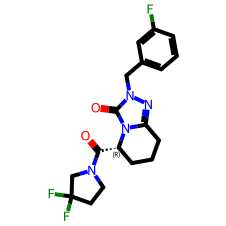 O=C([C@H]1CCCc2nn(Cc3cccc(F)c3)c(=O)n21)N1CCC(F)(F)C1